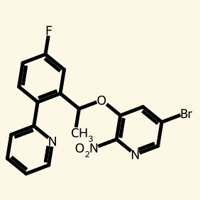 CC(Oc1cc(Br)cnc1[N+](=O)[O-])c1cc(F)ccc1-c1ccccn1